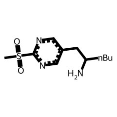 CCCCC(N)Cc1cnc(S(C)(=O)=O)nc1